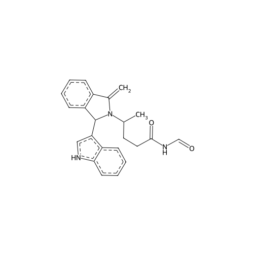 C=C1c2ccccc2C(c2c[nH]c3ccccc23)N1C(C)CCC(=O)NC=O